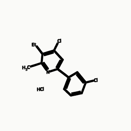 CCc1c(Cl)cc(-c2cccc(Cl)c2)nc1C.Cl